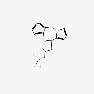 CN(C)CC1CC2c3cccn3Cc3ccccc3N2O1